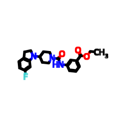 CCOC(=O)c1cccc(NC(=O)N2CCC(N3CCc4ccc(F)cc43)CC2)c1